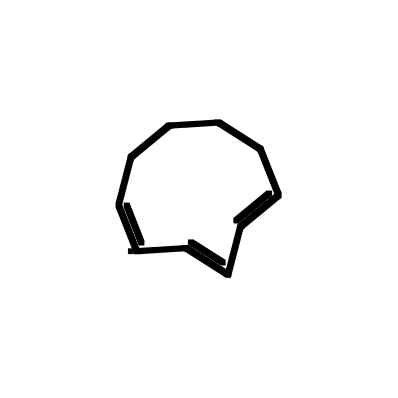 [C]1=C\CCCC/C=C/C=C/1